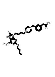 CCCCOc1nc(N)c2[nH]c(=O)n(CCCCN3CCN(Cc4cccc(CC(=O)O)c4)CC3)c2n1